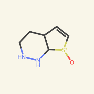 [O-][S+]1C=CC2CCNNC21